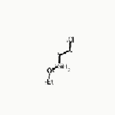 CCO[SiH2]CCCl